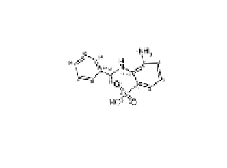 Nc1cccc(S(=O)(=O)O)c1NNc1ccccc1